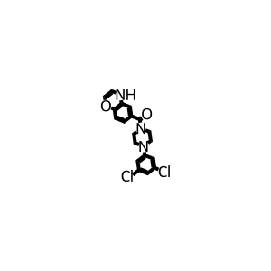 O=C(c1ccc2c(c1)NC=CO2)N1CCN(c2cc(Cl)cc(Cl)c2)CC1